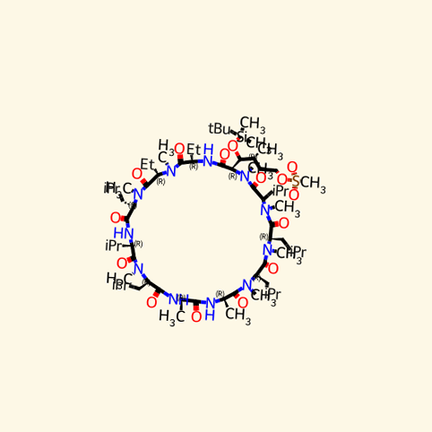 CC[C@@H]1C(=O)N(C)[C@@H](CC(C)C)C(=O)N[C@H](C(C)C)C(=O)N(C)[C@H](CC(C)C)C(=O)N[C@H](C)C(=O)N[C@H](C)C(=O)N(C)[C@H](CC(C)C)C(=O)N(C)[C@H](CC(C)C)C(=O)N(C)C(C(C)C)C(=O)N(C)[C@H](C(O[Si](C)(C)C(C)(C)C)[C@H](C)CCOS(C)(=O)=O)C(=O)N[C@H](CC)C(=O)N1C